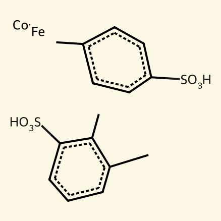 Cc1ccc(S(=O)(=O)O)cc1.Cc1cccc(S(=O)(=O)O)c1C.[Co].[Fe]